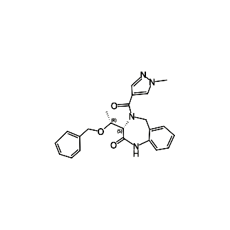 C[C@@H](OCc1ccccc1)[C@H]1C(=O)Nc2ccccc2CN1C(=O)c1cnn(C)c1